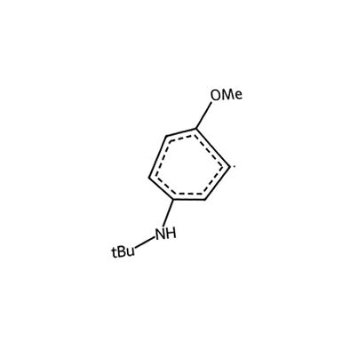 COc1[c]cc(NC(C)(C)C)cc1